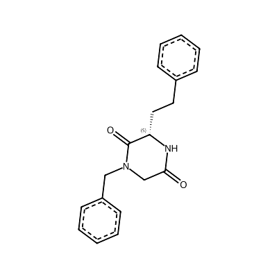 O=C1CN(Cc2ccccc2)C(=O)[C@H](CCc2ccccc2)N1